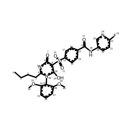 CCCCc1nc(=O)c(S(=O)(=O)c2ccc(C(=O)Nc3ccc(F)nc3)cc2)c(O)n1-c1c(OC)cccc1OC